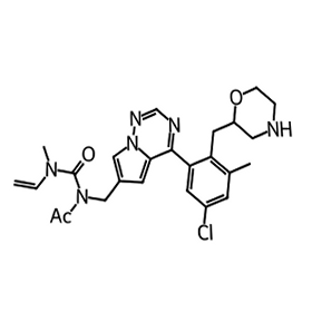 C=CN(C)C(=O)N(Cc1cc2c(-c3cc(Cl)cc(C)c3CC3CNCCO3)ncnn2c1)C(C)=O